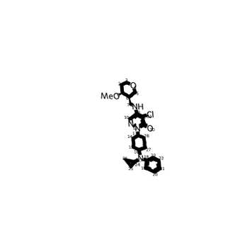 CO[C@H]1CCOC[C@H]1CNc1cnn(C2CCC(N(c3ccccc3)C3CC3)CC2)c(=O)c1Cl